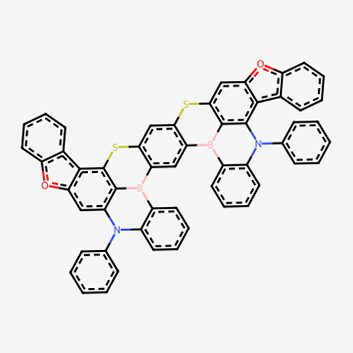 c1ccc(N2c3ccccc3B3c4cc5c(cc4Sc4c3c2cc2oc3ccccc3c42)Sc2cc3oc4ccccc4c3c3c2B5c2ccccc2N3c2ccccc2)cc1